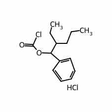 CCCC(CC)C(OC(=O)Cl)c1ccccc1.Cl